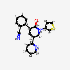 N#Cc1ccccc1-c1cc(-c2ccccn2)cn(-c2ccsc2)c1=O